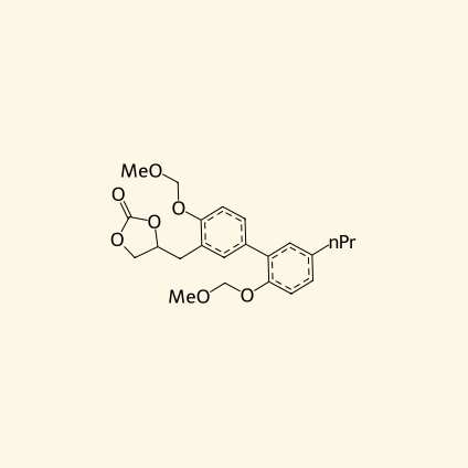 CCCc1ccc(OCOC)c(-c2ccc(OCOC)c(CC3COC(=O)O3)c2)c1